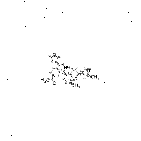 CC(=O)N1CCC(N[C@H]2CCOC2)=C(C(=N)N2CC[C@H](C)c3cc(-c4cnn(C)c4)ccc32)C1